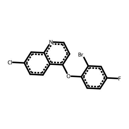 Fc1ccc(Oc2ccnc3cc(Cl)ccc23)c(Br)c1